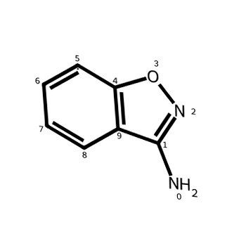 Nc1noc2[c]cccc12